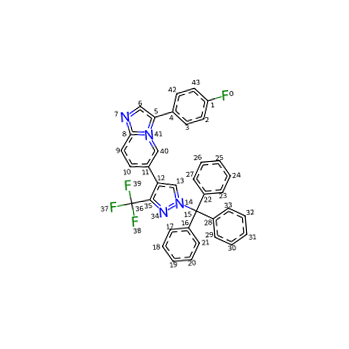 Fc1ccc(-c2cnc3ccc(-c4cn(C(c5ccccc5)(c5ccccc5)c5ccccc5)nc4C(F)(F)F)cn23)cc1